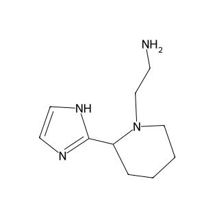 NCCN1CCCCC1c1ncc[nH]1